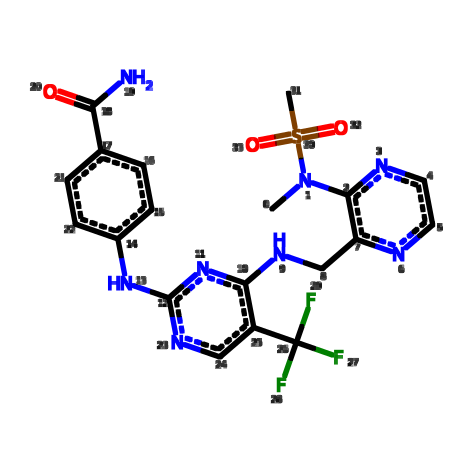 CN(c1nccnc1CNc1nc(Nc2ccc(C(N)=O)cc2)ncc1C(F)(F)F)S(C)(=O)=O